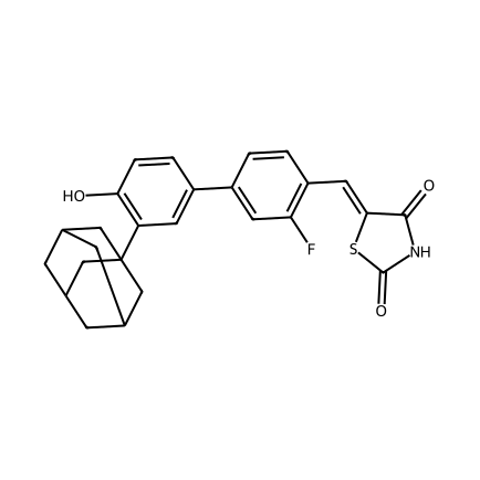 O=C1NC(=O)C(=Cc2ccc(-c3ccc(O)c(C45CC6CC(CC(C6)C4)C5)c3)cc2F)S1